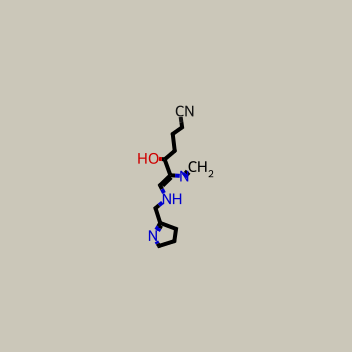 C=N/C(=C\NCC1=NCCC1)C(O)CCCC#N